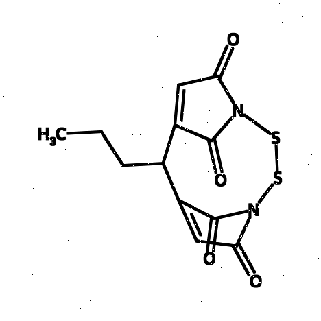 CCCC1C2=CC(=O)N(SSN3C(=O)C=C1C3=O)C2=O